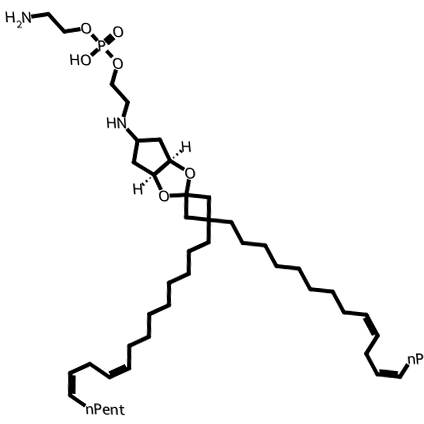 CCCCC/C=C\C/C=C\CCCCCCCCC1(CCCCCCCC/C=C\C/C=C\CCCCC)CC2(C1)O[C@H]1CC(NCCOP(=O)(O)OCCN)C[C@H]1O2